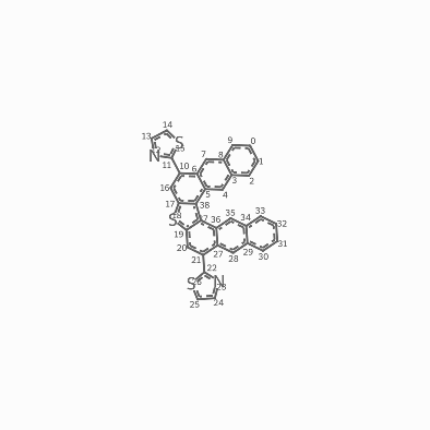 c1ccc2cc3c(cc2c1)c(-c1nccs1)cc1sc2cc(-c4nccs4)c4cc5ccccc5cc4c2c13